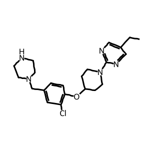 CCc1cnc(N2CCC(Oc3ccc(CN4CCNCC4)cc3Cl)CC2)nc1